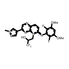 COc1cc(OC)c(F)c(/N=c2\ccc3ncc(-c4cnn(C)c4)nc3n2CC(O)C(F)(F)F)c1F